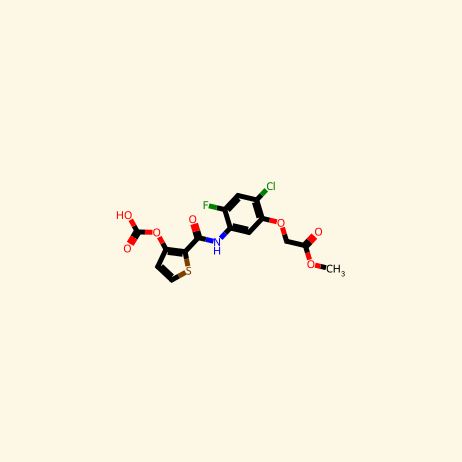 COC(=O)COc1cc(NC(=O)c2sccc2OC(=O)O)c(F)cc1Cl